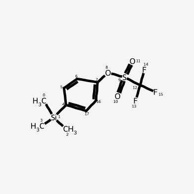 C[Si](C)(C)c1ccc(OS(=O)(=O)C(F)(F)F)cc1